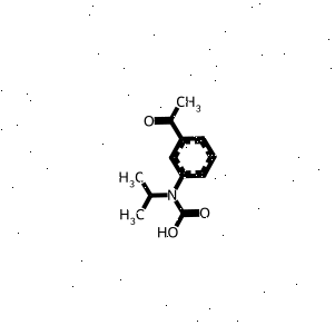 CC(=O)c1cccc(N(C(=O)O)C(C)C)c1